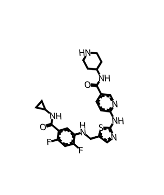 O=C(NC1CCNCC1)c1ccc(Nc2ncc(CNc3cc(C(=O)NC4CC4)c(F)cc3F)s2)nc1